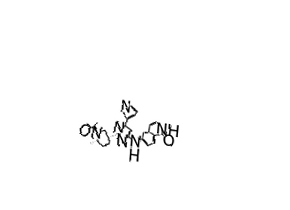 CC(=O)N1C[C@H](c2nc(Nc3ccc4c(=O)[nH]ccc4c3)cc(-c3cccnc3)n2)CC[C@@H]1C